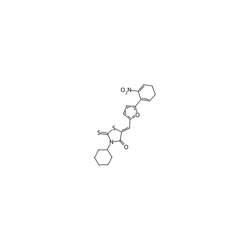 O=C1/C(=C/c2ccc(C3=CCCC=C3[N+](=O)[O-])o2)SC(=S)N1C1CCCCC1